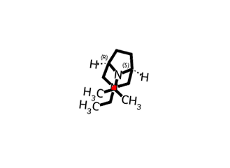 CCN1C[C@H]2CC[C@@H](C1)N2C(C)C